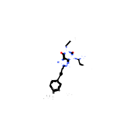 C#CCn1c(=O)c2c(nc(C#Cc3ccc(OC)c(OC)c3)n2C)n(C(N)C=C)c1=O